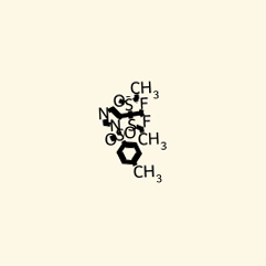 CCSC(c1cncn1S(=O)(=O)c1ccc(C)cc1)(C(F)F)[S+]([O-])CC